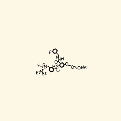 CCN(CC)CCN(C)Cc1cccc(C(=O)Nc2ccc(OCCOCCOC)cc2C(=O)NN=Cc2cccc(F)c2)c1